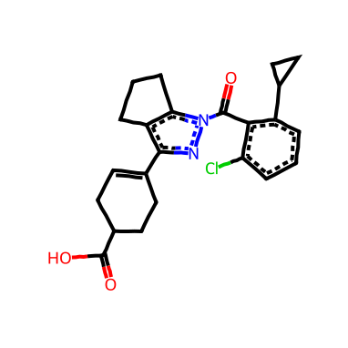 O=C(O)C1CC=C(c2nn(C(=O)c3c(Cl)cccc3C3CC3)c3c2CCC3)CC1